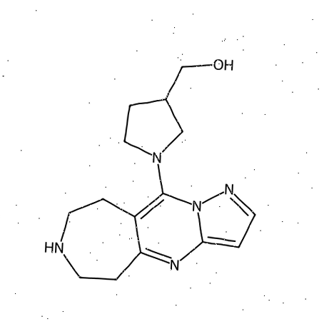 OCC1CCN(c2c3c(nc4ccnn24)CCNCC3)C1